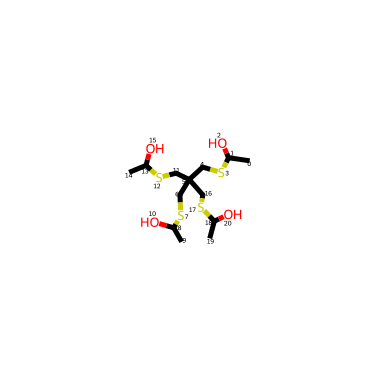 CC(O)SCC(CSC(C)O)(CSC(C)O)CSC(C)O